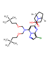 C[Si](C)(C)CCOCN(COCC[Si](C)(C)C)c1cc([C@@H]2C[C@H]3CC[C@@H](C2)N3C(=O)O)nc2c(Br)cnn12